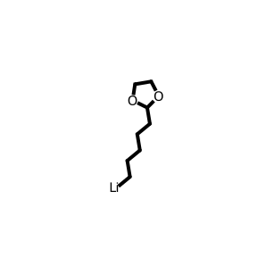 [Li][CH2]CCCCC1OCCO1